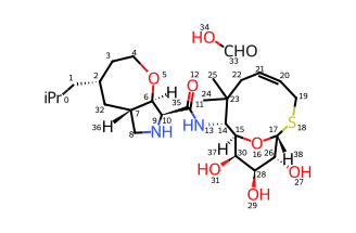 CC(C)C[C@@H]1CCO[C@@H]2[C@H](CN[C@@H]2C(=O)N[C@H]2[C@H]3O[C@H](SCC=CCC2(C)C)[C@H](O)[C@@H](O)[C@H]3O)C1.O=CO